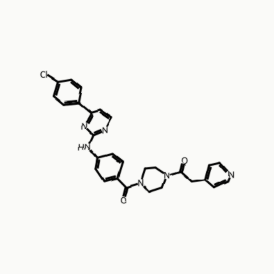 O=C(Cc1ccncc1)N1CCN(C(=O)c2ccc(Nc3nccc(-c4ccc(Cl)cc4)n3)cc2)CC1